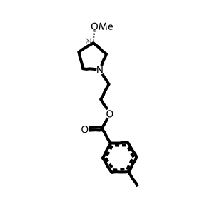 CO[C@H]1CCN(CCOC(=O)c2ccc(C)cc2)C1